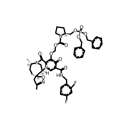 CC1=NO[C@@]2(CC[C@H](C)N3C[C@H]2n2cc(C(=O)NCc4ccc(F)cc4F)c(=O)c(OCOC(=O)N4CCC[C@H]4COP(=O)(OCc4ccccc4)OCc4ccccc4)c2C3=O)C1